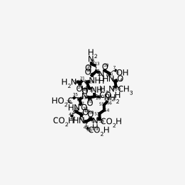 C[C@H](N)C(=O)N[C@@H](CO)C(=O)N[C@@H](CC(N)=O)C(=O)N[C@@H](CC(N)=O)C(=O)N[C@@H](CC(=O)O)C(=O)N[C@@H](CC(=O)O)C(=O)N[C@@H](CC(=O)O)C(=O)N[C@@H](CC(=O)O)C(=O)N[C@@H](CCCCN)C(=O)O